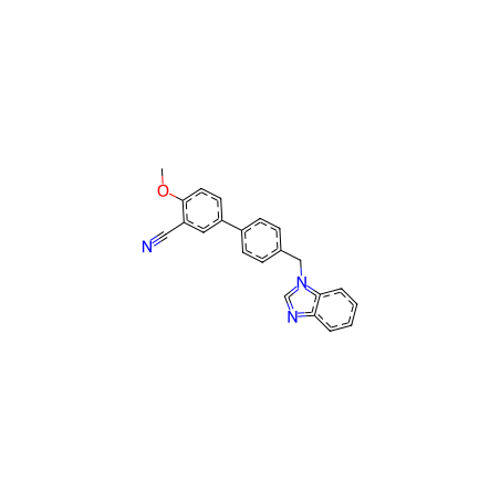 COc1ccc(-c2ccc(Cn3cnc4ccccc43)cc2)cc1C#N